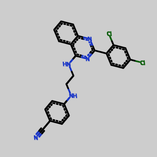 N#Cc1ccc(NCCNc2nc(-c3ccc(Cl)cc3Cl)nc3ccccc23)cc1